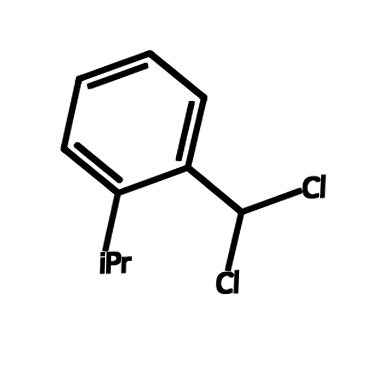 CC(C)c1ccccc1C(Cl)Cl